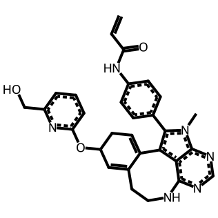 C=CC(=O)Nc1ccc(-c2c3c4c(ncnc4n2C)NCCC2=CC(Oc4cccc(CO)n4)CC=C23)cc1